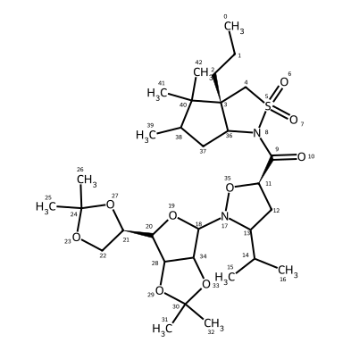 CCC[C@@]12CS(=O)(=O)N(C(=O)[C@H]3CC(C(C)C)N(C4OC([C@H]5COC(C)(C)O5)C5OC(C)(C)OC54)O3)C1CC(C)C2(C)C